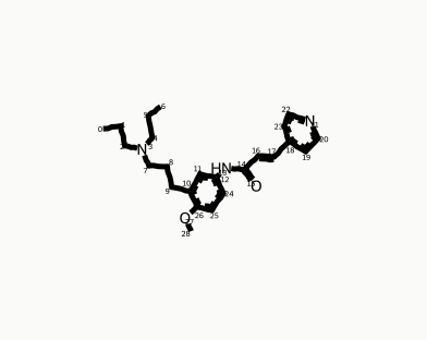 CCCN(CCC)CCCc1cc(NC(=O)C=Cc2ccncc2)ccc1OC